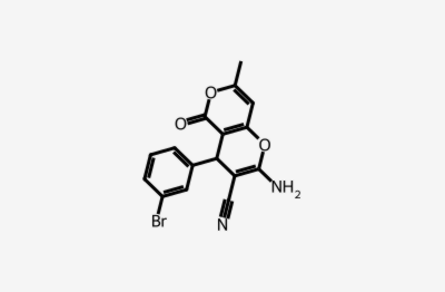 Cc1cc2c(c(=O)o1)C(c1cccc(Br)c1)C(C#N)=C(N)O2